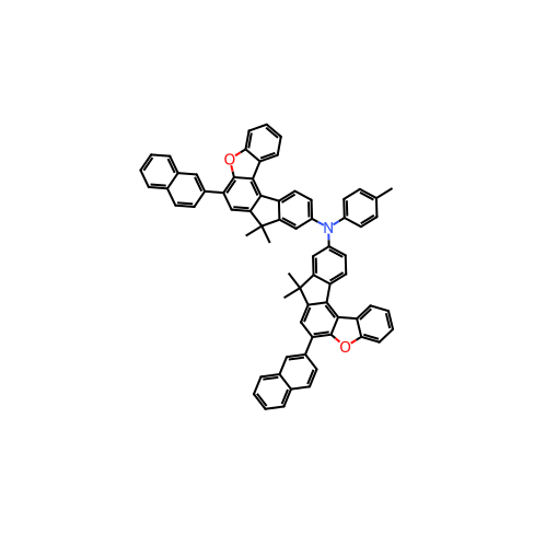 Cc1ccc(N(c2ccc3c(c2)C(C)(C)c2cc(-c4ccc5ccccc5c4)c4oc5ccccc5c4c2-3)c2ccc3c(c2)C(C)(C)c2cc(-c4ccc5ccccc5c4)c4oc5ccccc5c4c2-3)cc1